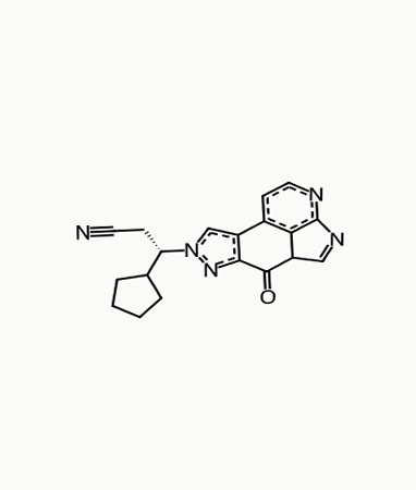 N#CC[C@@H](C1CCCC1)n1cc2c(n1)C(=O)C1C=Nc3nccc-2c31